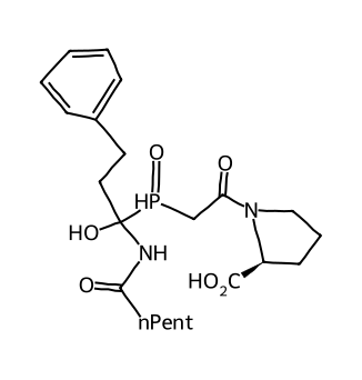 CCCCCC(=O)NC(O)(CCc1ccccc1)[PH](=O)CC(=O)N1CCC[C@H]1C(=O)O